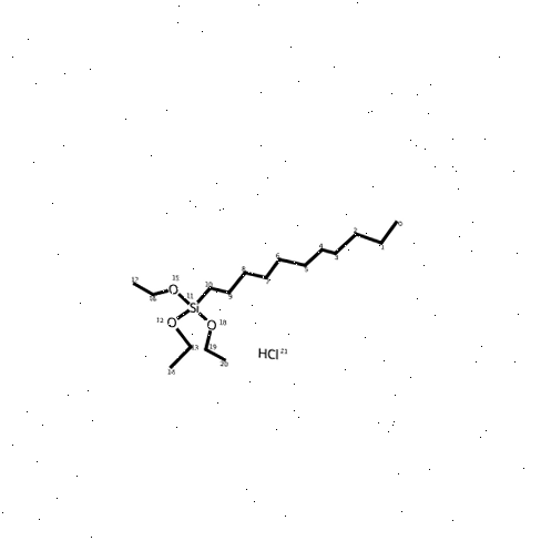 CCCCCCCCCCC[Si](OCC)(OCC)OCC.Cl